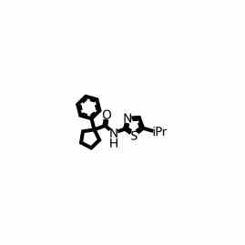 CC(C)c1cnc(NC(=O)C2(c3ccccc3)CCCC2)s1